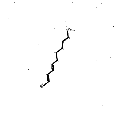 CCCCCCCCCCC=CC=CBr